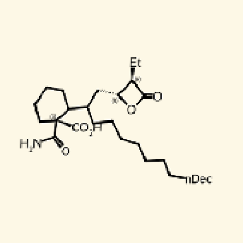 CCCCCCCCCCCCCCCCCC(C[C@H]1OC(=O)[C@@H]1CC)C1CCCC[C@]1(C(N)=O)C(=O)O